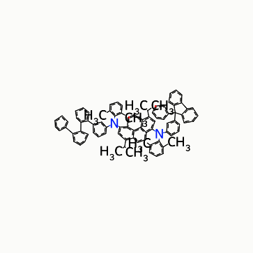 Cc1cccc(C)c1N(c1cccc(-c2ccccc2-c2ccccc2-c2ccccc2)c1)c1cc(C(C)C)c2ccc3c(N(c4cccc(C5(c6ccccc6)c6ccccc6-c6ccccc65)c4)c4c(C)cccc4C)cc(C(C)C)c4ccc1c2c43